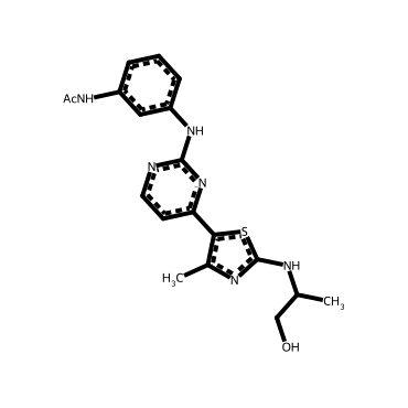 CC(=O)Nc1cccc(Nc2nccc(-c3sc(NC(C)CO)nc3C)n2)c1